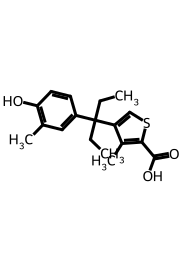 CCC(CC)(c1ccc(O)c(C)c1)c1csc(C(=O)O)c1C